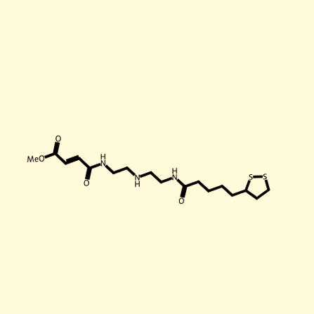 COC(=O)C=CC(=O)NCCNCCNC(=O)CCCCC1CCSS1